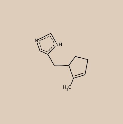 CC1=CCCC1Cc1cnc[nH]1